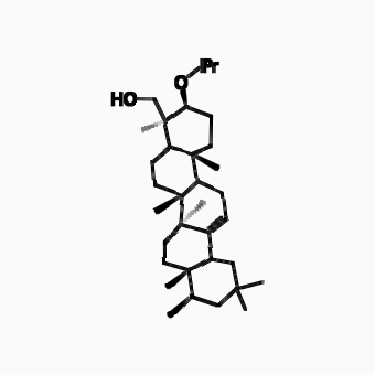 CC(C)O[C@H]1CC[C@@]2(C)C(CC[C@]3(C)C2CC=C2C4CC(C)(C)C[C@@H](C)[C@]4(C)CC[C@]23C)[C@@]1(C)CO